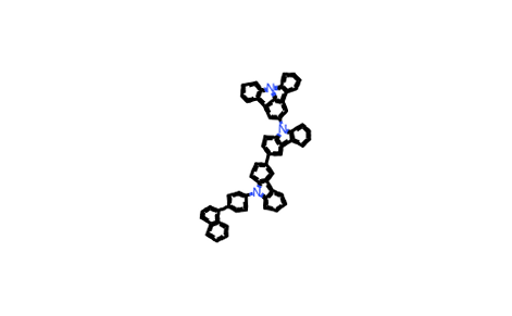 c1ccc2c(-c3ccc(-n4c5ccccc5c5cc(-c6ccc7c(c6)c6ccccc6n7-c6cc7c8ccccc8n8c9ccccc9c(c6)c78)ccc54)cc3)cccc2c1